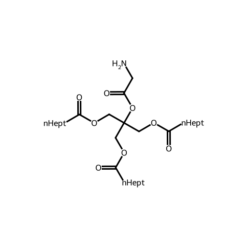 CCCCCCCC(=O)OCC(COC(=O)CCCCCCC)(COC(=O)CCCCCCC)OC(=O)CN